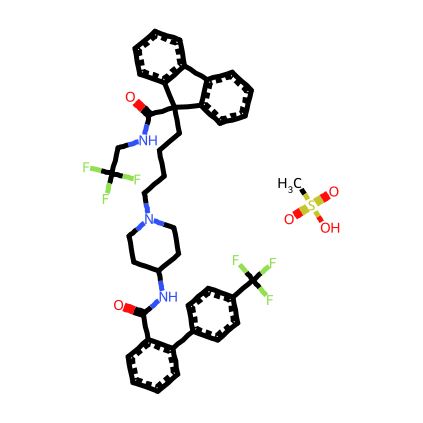 CS(=O)(=O)O.O=C(NC1CCN(CCCCC2(C(=O)NCC(F)(F)F)c3ccccc3-c3ccccc32)CC1)c1ccccc1-c1ccc(C(F)(F)F)cc1